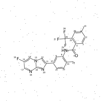 Cc1ccc(C(=O)Nc2cc(-c3cn4cc(F)cnc4n3)ccc2C)c(C(F)(F)F)c1